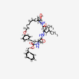 CC(C)C[C@@H]1NC(=O)[C@@H](NC(=O)OCc2ccccc2)Cc2ccc(cc2)OCCCCC[C@@H](C=O)NC1=O